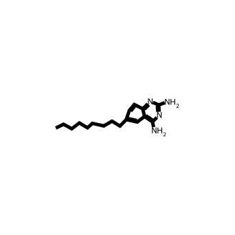 CCCCCCCCCc1ccc2nc(N)nc(N)c2c1